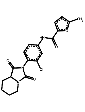 Cc1ccc(C(=O)Nc2ccc(N3C(=O)C4CCCCN4C3=O)c(Cl)c2)o1